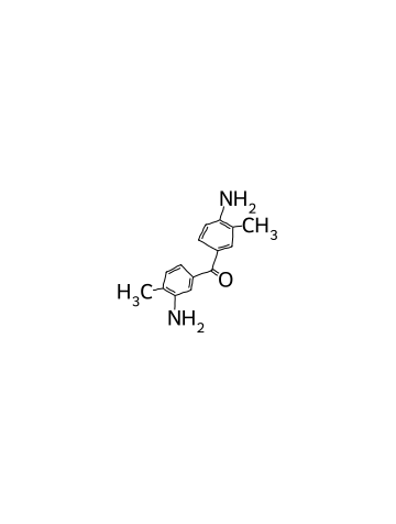 Cc1cc(C(=O)c2ccc(C)c(N)c2)ccc1N